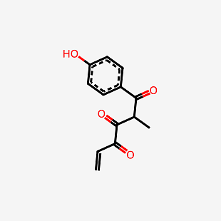 C=CC(=O)C(=O)C(C)C(=O)c1ccc(O)cc1